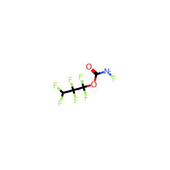 O=C([N]F)OC(F)(F)C(F)(F)C(F)F